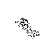 O=C(O)C(OCC1OC(N2C=CC(O)N(C(C(=O)O)P(=O)(O)O)C2=O)C(O)C1O)P(=O)(O)O